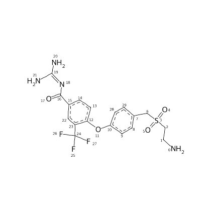 NCCS(=O)(=O)Cc1ccc(Oc2ccc(C(=O)N=C(N)N)cc2C(F)(F)F)cc1